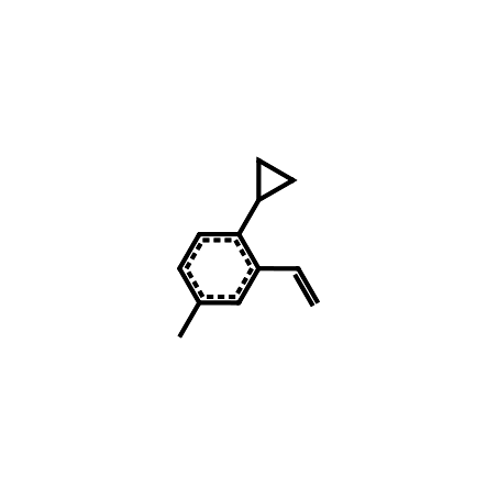 C=Cc1cc(C)ccc1C1CC1